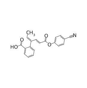 CC=C(C=CC(=O)Oc1ccc(C#N)cc1)c1ccccc1C(=O)O